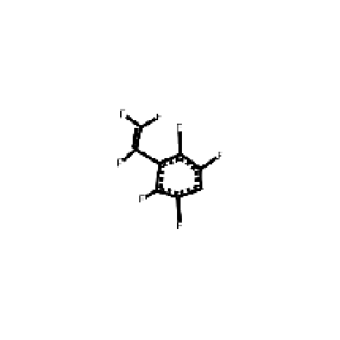 FC(F)=C(F)c1c(F)c(F)[c]c(F)c1F